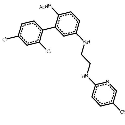 CC(=O)Nc1ccc(NCCNc2ccc(C#N)cn2)cc1-c1ccc(Cl)cc1Cl